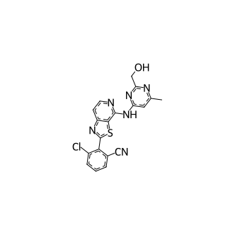 Cc1cc(Nc2nccc3nc(-c4c(Cl)cccc4C#N)sc23)nc(CO)n1